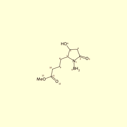 BN1C(=O)CC(O)C1CCCC(=O)OC